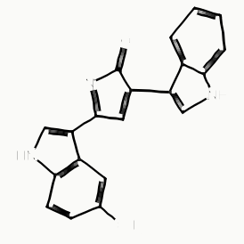 Cc1ccc2[nH]cc(C3=NC(=O)C(c4c[nH]c5ccccc45)=C3)c2c1